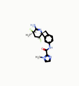 Cn1ccnc1C(=O)Nc1ccc2c(c1)[C@@]1(C2)N=C(N)[C@](C)(F)C[C@@H]1F